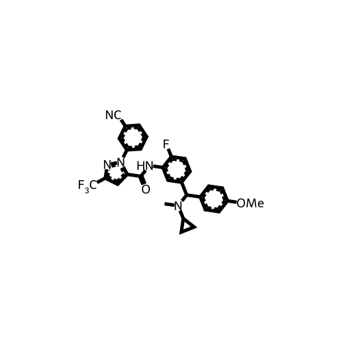 COc1ccc(C(c2ccc(F)c(NC(=O)c3cc(C(F)(F)F)nn3-c3cccc(C#N)c3)c2)N(C)C2CC2)cc1